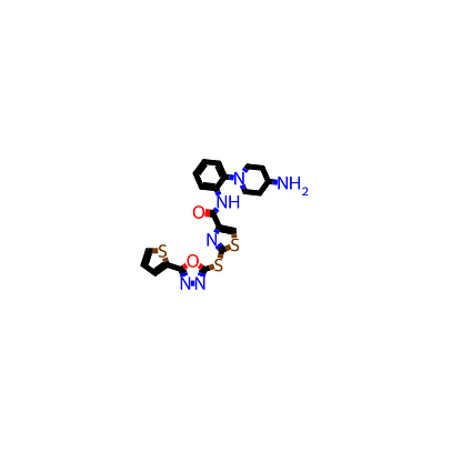 NC1CCN(c2ccccc2NC(=O)c2csc(Sc3nnc(-c4cccs4)o3)n2)CC1